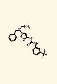 NC[C@H](Cc1ccccc1)[n+]1cc([N-]C(=O)Nc2cccc(C(F)(F)F)c2)on1